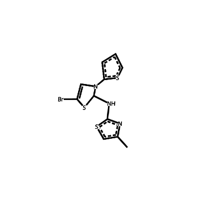 Cc1csc(NC2SC(Br)=CN2c2cccs2)n1